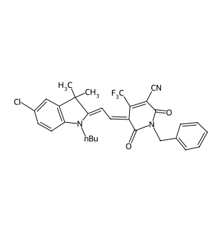 CCCCN1/C(=C\C=C2\C(=O)N(Cc3ccccc3)C(=O)C(C#N)=C2C(F)(F)F)C(C)(C)c2cc(Cl)ccc21